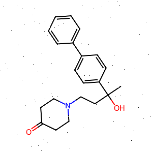 CC(O)(CCN1CCC(=O)CC1)c1ccc(-c2ccccc2)cc1